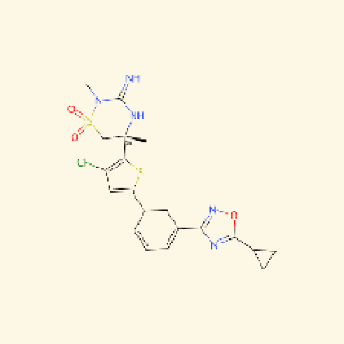 CN1C(=N)N[C@](C)(c2sc(C3C=CC=C(c4noc(C5CC5)n4)C3)cc2Cl)CS1(=O)=O